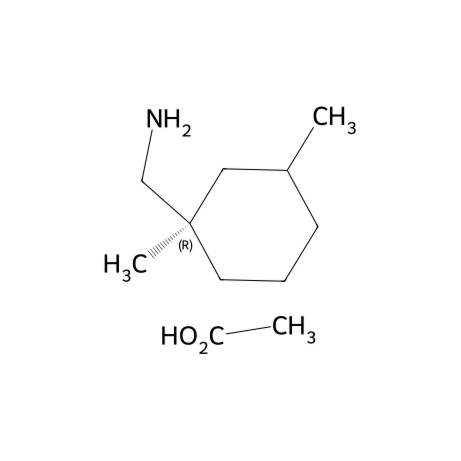 CC(=O)O.CC1CCC[C@@](C)(CN)C1